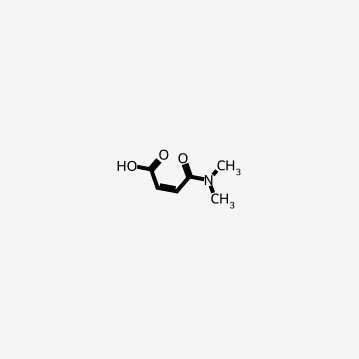 CN(C)C(=O)/C=C\C(=O)O